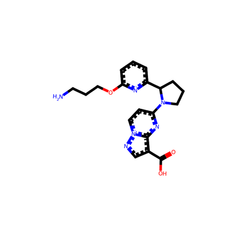 NCCCOc1cccc(C2CCCN2c2ccn3ncc(C(=O)O)c3n2)n1